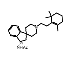 CC(=O)N[C@H]1CC2(CCN(CCC3=C(C)CCCC3(C)C)CC2)c2ccccc21